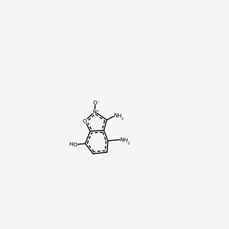 Nc1ccc(O)c2o[n+]([O-])c(N)c12